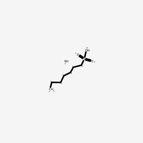 CCCCCCCS(=O)(=O)O.[KH]